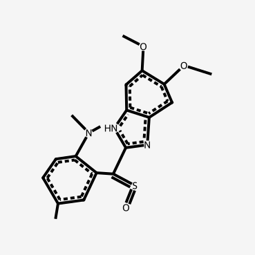 COc1cc2nc(C(=S=O)c3cc(C)ccc3N(C)C)[nH]c2cc1OC